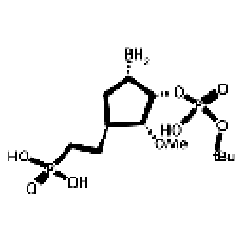 B[C@H]1C[C@H](CCP(=O)(O)O)[C@@H](OC)[C@H]1OP(=O)(O)OC(C)(C)C